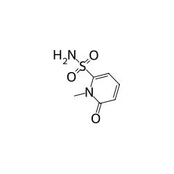 Cn1c(S(N)(=O)=O)cccc1=O